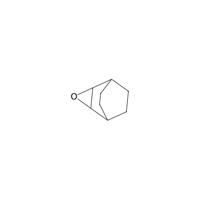 C1CC2CCC1C1OC21